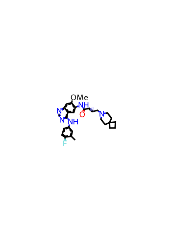 COc1cc2ncnc(Nc3ccc(F)c(C)c3)c2cc1NC(=O)/C=C/CN1CCC2(CCC2)CC1